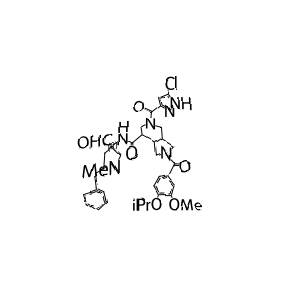 CNC[C@@](C=O)(CCCc1ccccc1)NC(=O)C1CN(C(=O)c2cc(Cl)[nH]n2)CC2CN(C(=O)c3ccc(OC(C)C)c(OC)c3)CC21